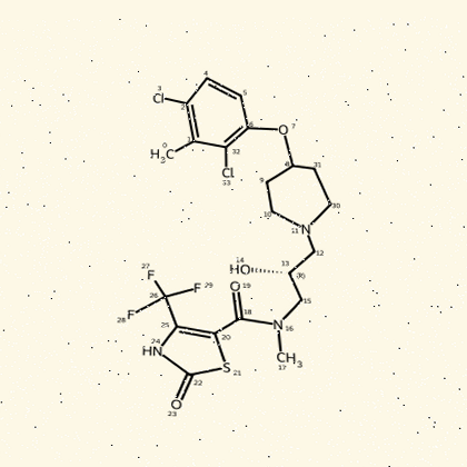 Cc1c(Cl)ccc(OC2CCN(C[C@@H](O)CN(C)C(=O)c3sc(=O)[nH]c3C(F)(F)F)CC2)c1Cl